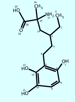 CCC(CCc1c(O)ccc(O)c1O)CC(C)(N)C(=O)O